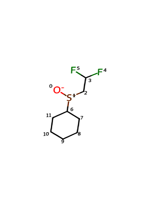 [O-][S+](CC(F)F)C1CCCCC1